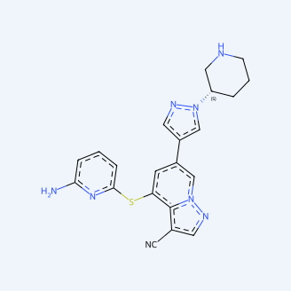 N#Cc1cnn2cc(-c3cnn([C@H]4CCCNC4)c3)cc(Sc3cccc(N)n3)c12